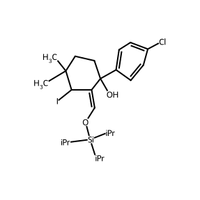 CC(C)[Si](OC=C1C(I)C(C)(C)CCC1(O)c1ccc(Cl)cc1)(C(C)C)C(C)C